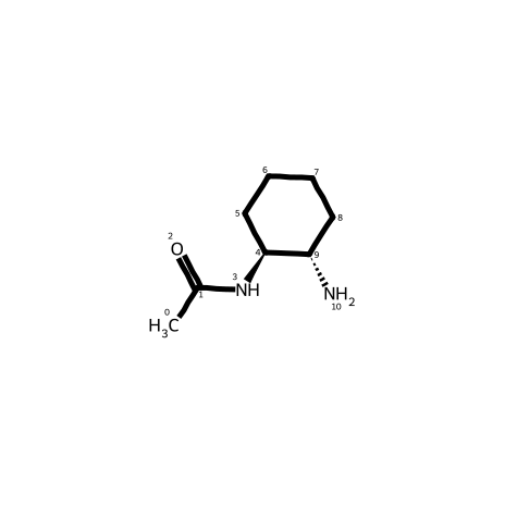 CC(=O)N[C@H]1CCCC[C@@H]1N